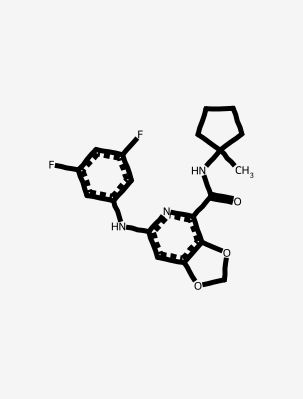 CC1(NC(=O)c2nc(Nc3cc(F)cc(F)c3)cc3c2OCO3)CCCC1